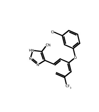 C=C(/C=C(\C=C\c1nn[nH]c1C#N)Oc1cccc(Cl)c1)C(F)(F)F